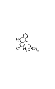 CN(C)CC/C=C1/c2ccccc2CNc2cc(Cl)ccc21